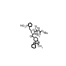 CN1N=C2CCN(C(=O)[C@@H](CCCc3ccccc3C(=O)O)NC(=O)C(C)(C)NC(=O)OC(C)(C)C)C[C@@]2(Cc2ccccc2)C1=O